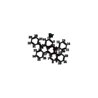 Brc1cc(N(c2ccccc2)c2ccccc2-c2ccccc2)cc(N(c2ccccc2)c2ccccc2-c2ccccc2)c1